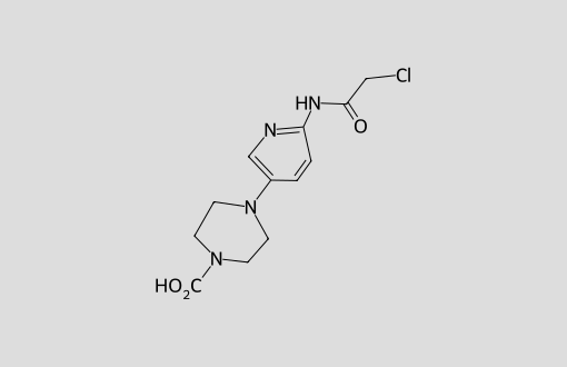 O=C(CCl)Nc1ccc(N2CCN(C(=O)O)CC2)cn1